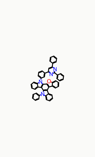 c1ccc(-c2cc(-c3cccc(-n4c5ccccc5c5c4c4oc6ccccc6c4c4c6ccccc6n(-c6ccccc6)c45)c3)nc(-c3ccccc3)n2)cc1